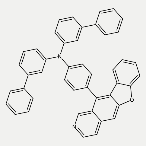 c1ccc(-c2cccc(N(c3ccc(-c4c5cnccc5cc5oc6ccccc6c45)cc3)c3cccc(-c4ccccc4)c3)c2)cc1